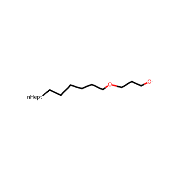 CCCCCCCCCCCCCOCCC[O]